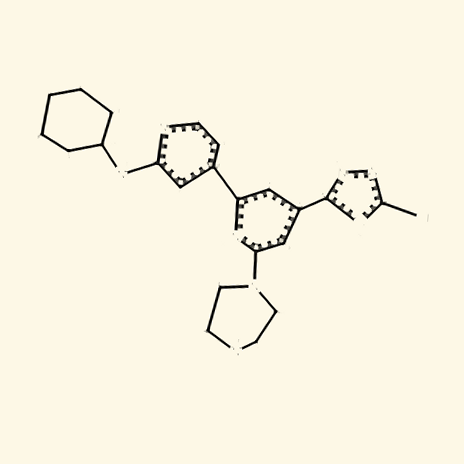 Cc1nnc(-c2cc(-c3ccnc(NC4CCCCC4)c3)nc(N3CCNCC3)c2)o1